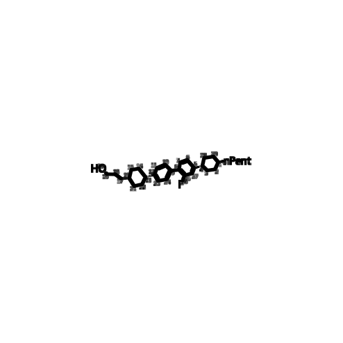 CCCCC[C@H]1CC[C@H](c2ccc(-c3ccc([C@H]4CC[C@H](CCCO)CC4)cc3)c(F)c2)CC1